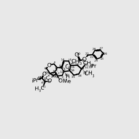 CO[C@@H]1C[C@@]23COC[C@@](C)([C@@H]2CC[C@H]2C3=CC[C@@]3(C)[C@H](C(=O)OCc4ccccc4)[C@@](C)([C@H](C)C(C)C)CC[C@]23C)[C@H]1OC(C)C(=O)C(C)C